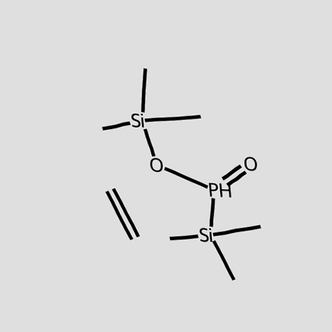 C=C.C[Si](C)(C)O[PH](=O)[Si](C)(C)C